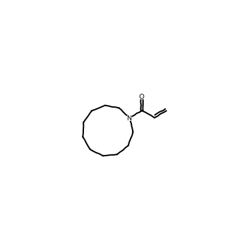 C=CC(=O)N1CCCCCCCCCC1